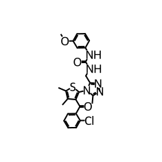 COc1cccc(NC(=O)NCc2nnc(C)n2-c2sc(C)c(C)c2C(=O)c2ccccc2Cl)c1